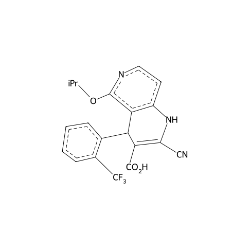 CC(C)Oc1nccc2c1C(c1ccccc1C(F)(F)F)C(C(=O)O)=C(C#N)N2